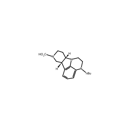 CCCCN1CCN2c3c(cccc31)[C@@H]1CN(C(=O)O)CC[C@@H]12